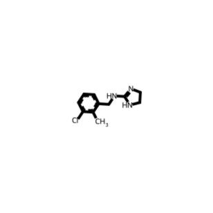 Cc1c(Cl)cccc1CNC1=NCCN1